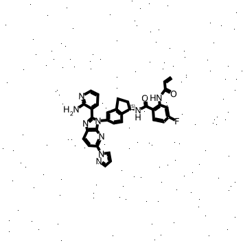 C=CC(=O)Nc1cc(F)ccc1C(=O)N[C@H]1CCc2cc(-n3c(-c4cccnc4N)nc4ccc(-n5cccn5)nc43)ccc21